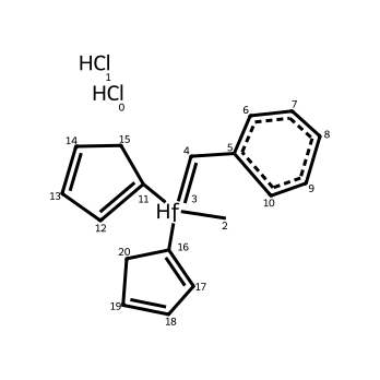 Cl.Cl.[CH3][Hf](=[CH]c1ccccc1)([C]1=CC=CC1)[C]1=CC=CC1